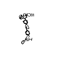 N=C(COc1ccc(COc2ccc(C(CC(=O)O)c3ccon3)cc2)cc1)c1ccccc1